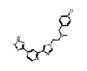 CN(CCn1cnc(-c2cc(-c3nn[nH]n3)ccn2)c1)Cc1ccc(Cl)cc1